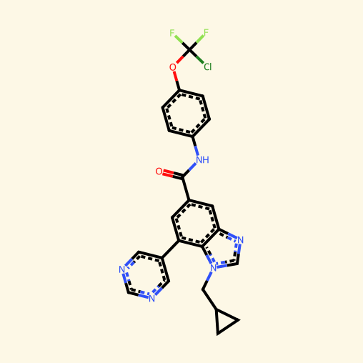 O=C(Nc1ccc(OC(F)(F)Cl)cc1)c1cc(-c2cncnc2)c2c(c1)ncn2CC1CC1